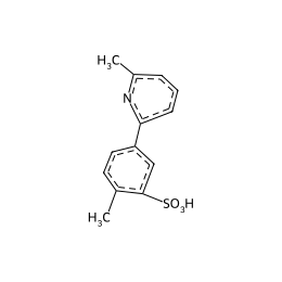 Cc1cccc(-c2ccc(C)c(S(=O)(=O)O)c2)n1